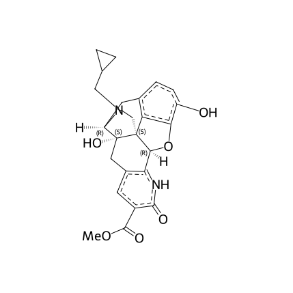 COC(=O)c1cc2c([nH]c1=O)[C@@H]1Oc3c(O)ccc4c3[C@@]13CCN(CC1CC1)[C@H](C4)[C@]3(O)C2